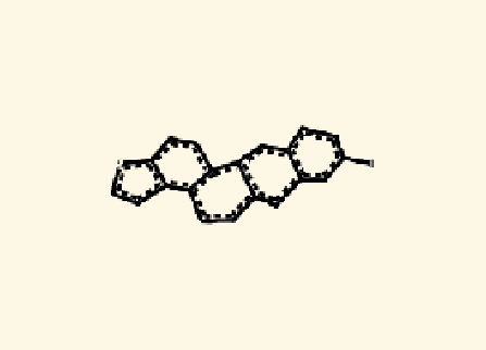 Ic1ccc2cc3c(ccc4c5ccsc5ccc34)cc2c1